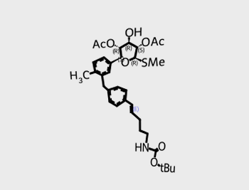 CS[C@H]1O[C@@H](c2ccc(C)c(Cc3ccc(/C=C/CCCNC(=O)OC(C)(C)C)cc3)c2)[C@H](OC(C)=O)[C@@H](O)[C@@H]1OC(C)=O